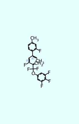 C=C(/C(F)=C\C(=C/C)c1ccc(C)cc1F)C(F)(F)Oc1cc(F)c(F)c(F)c1